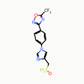 O=[SH2]Cc1cn(-c2ccc(-c3noc(C(F)(F)F)n3)cc2)cn1